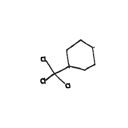 ClC(Cl)(Cl)[C]1CC[CH]CC1